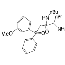 CCCCNP(=O)(CP(=O)(c1ccccc1)c1cccc(OC)c1)C(N)CCC